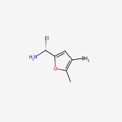 Bc1cc([C@H](N)CC)oc1C